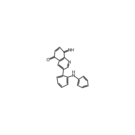 N=C1C=CC(=O)c2cc(-c3ccccc3Nc3ccccc3)cnc21